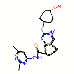 Cc1cc(NC(=O)c2cccc3cnc(NC4CCC(O)CC4)nc23)nc(C)n1